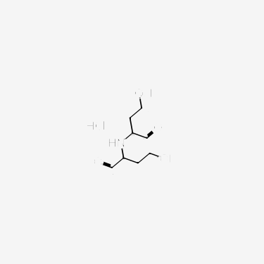 Cl.O=CC(CCO)NC(C=O)CCO